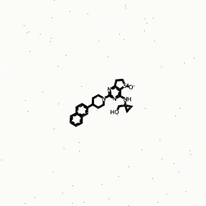 [O-][S+]1CCc2nc(N3CCC(c4ccc5ccccc5c4)CC3)nc(NC3(CO)CC3)c21